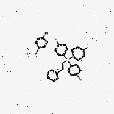 Fc1ccc([B-](C=Cc2ccccc2)(c2ccc(F)cc2)c2ccc(F)cc2)cc1.[SH2+]Cc1ccc(Br)cc1